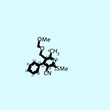 COCOCc1c(C)nc(SC)c(C#N)c1-c1ccccc1